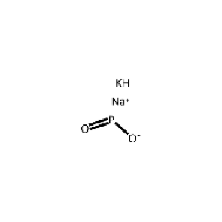 O=P[O-].[KH].[Na+]